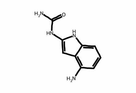 NC(=O)Nc1cc2c(N)cccc2[nH]1